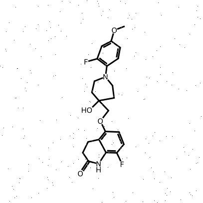 COc1ccc(N2CCC(O)(COc3ccc(F)c4c3CCC(=O)N4)CC2)c(F)c1